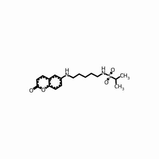 CC(C)S(=O)(=O)NCCCCCNc1ccc2oc(=O)ccc2c1